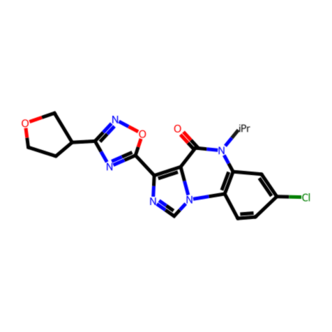 CC(C)n1c(=O)c2c(-c3nc(C4CCOC4)no3)ncn2c2ccc(Cl)cc21